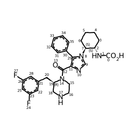 O=C(O)N[C@H]1CCCC[C@@H]1n1cnc(C(=O)N2CCNC[C@H]2Cc2cc(F)cc(F)c2)c1-c1ccccc1